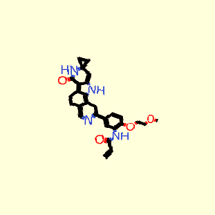 C=CC(=O)Nc1cc(C2=NC=C3CCc4c5c([nH]c4=C3C2)=CC2(CC2)NC5=O)ccc1OCCOC